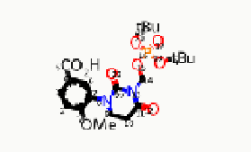 COc1ccc(C(=O)O)cc1N1CCC(=O)N(COP(=O)(OC(C)(C)C)OC(C)(C)C)C1=O